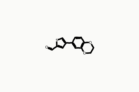 O=Cc1cc(-c2ccc3c(c2)OCCO3)cs1